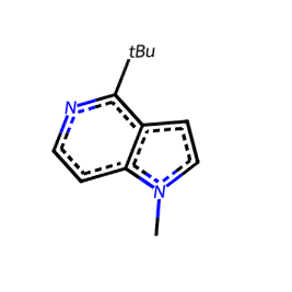 Cn1ccc2c(C(C)(C)C)nccc21